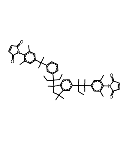 CCC(C)(c1ccc2c(c1)C(C)(C)CC2(C)C(CC)(CC)c1cccc(C(C)(C)c2cc(C)c(N3C(=O)C=CC3=O)c(C)c2)c1)C(C)(C)c1cc(C)c(N2C(=O)C=CC2=O)c(C)c1